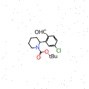 CC(C)(C)OC(=O)N1CCCCC1c1cc(Cl)ccc1C=O